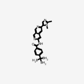 BC(B)(B)c1ccc(C(=O)Nc2cc3cc(-c4cnc(C)n4C)ncc3cn2)cc1